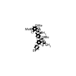 C=CC(=O)Nc1cc(N2CCN(CC)CC2)ccc1N(C(=O)OC(C)(C)C)c1cc2c(cn1)CN(c1c(Cl)c(OC)cc(OC)c1Cl)C(=O)N2C